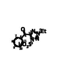 CCn1nc(C(=O)c2ccccc2)[n+](S(=O)(=O)O)n1